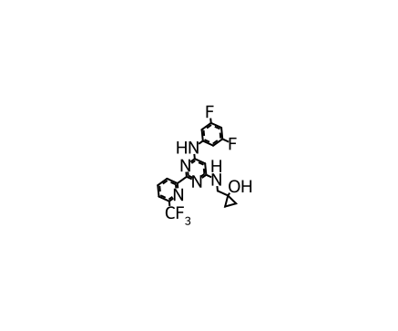 OC1(CNc2cc(Nc3cc(F)cc(F)c3)nc(-c3cccc(C(F)(F)F)n3)n2)CC1